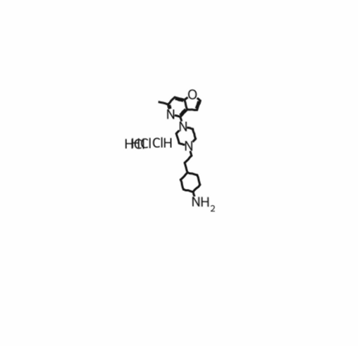 Cc1cc2occc2c(N2CCN(CCC3CCC(N)CC3)CC2)n1.Cl.Cl.Cl